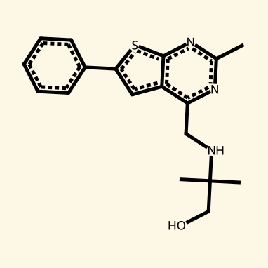 Cc1nc(CNC(C)(C)CO)c2cc(-c3ccccc3)sc2n1